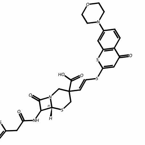 O=C(Cc1cccs1)NC1C(=O)N2CC(C=CSc3cc(=O)c4ccc(N5CCOCC5)cc4s3)(C(=O)O)CS[C@H]12